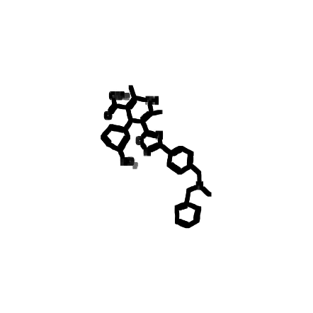 COC(=O)C1=C(C)NC(C)=C(c2nc(-c3ccc(CN(C)Cc4ccccc4)cc3)no2)C1c1cccc([N+](=O)[O-])c1